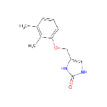 Cc1cccc(OCc2c[nH]c(=O)[nH]2)c1C